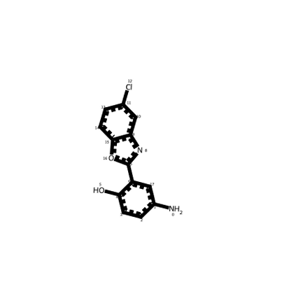 Nc1ccc(O)c(-c2nc3cc(Cl)ccc3o2)c1